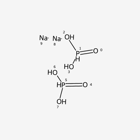 O=[PH](O)O.O=[PH](O)O.[Na].[Na]